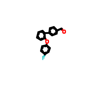 O=Cc1ccc(-c2ccccc2Oc2ccc(F)cc2)cc1